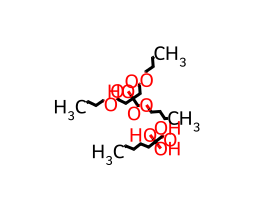 CCCCCC(O)(O)C(=O)O.CCCCOC(=O)CC(O)(CC(=O)OCCCC)C(=O)OCCCC